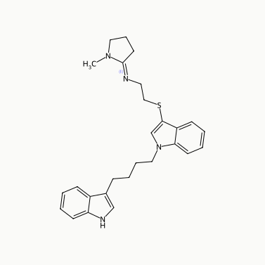 CN1CCC/C1=N\CCSc1cn(CCCCc2c[nH]c3ccccc23)c2ccccc12